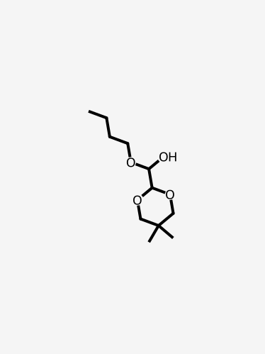 CCCCOC(O)C1OCC(C)(C)CO1